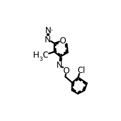 Cc1c(N=[N])occc1=NOCc1ccccc1Cl